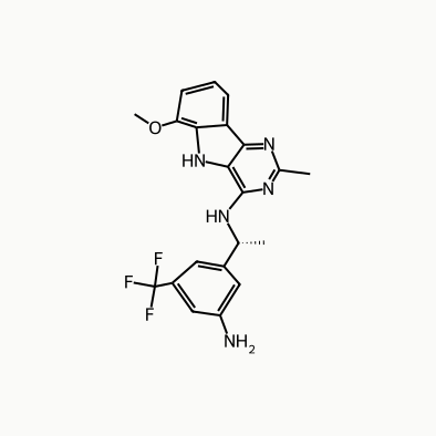 COc1cccc2c1[nH]c1c(N[C@H](C)c3cc(N)cc(C(F)(F)F)c3)nc(C)nc12